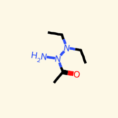 CCN(CC)N(N)C(C)=O